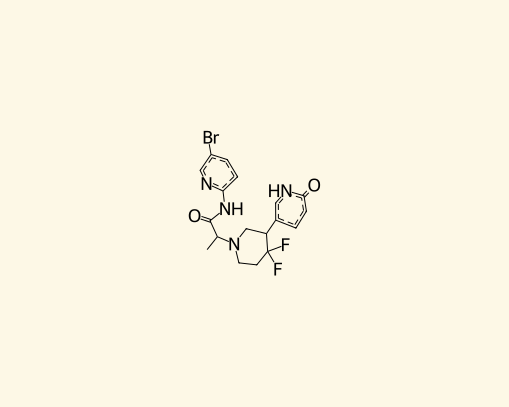 CC(C(=O)Nc1ccc(Br)cn1)N1CCC(F)(F)C(c2ccc(=O)[nH]c2)C1